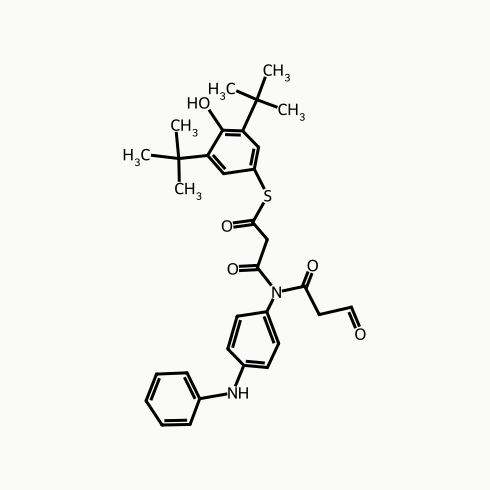 CC(C)(C)c1cc(SC(=O)CC(=O)N(C(=O)CC=O)c2ccc(Nc3ccccc3)cc2)cc(C(C)(C)C)c1O